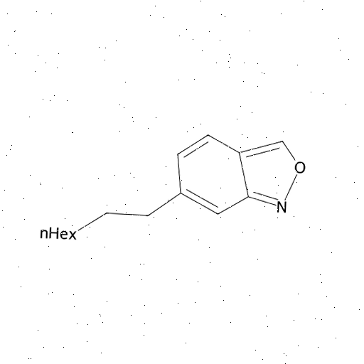 CCCCCCCCc1ccc2conc2c1